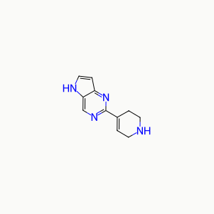 C1=C(c2ncc3[nH]ccc3n2)CCNC1